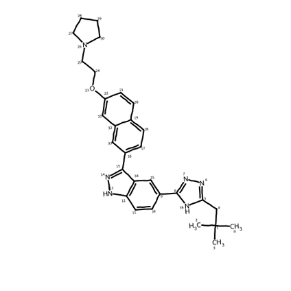 CC(C)(C)Cc1nnc(-c2ccc3[nH]nc(-c4ccc5ccc(OCCN6CCCC6)cc5c4)c3c2)[nH]1